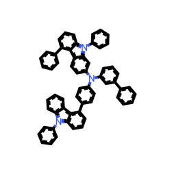 c1ccc(-c2cccc(N(c3ccc(-c4cccc5c4c4ccccc4n5-c4ccccc4)cc3)c3ccc4c5c(-c6ccccc6)cccc5n(-c5ccccc5)c4c3)c2)cc1